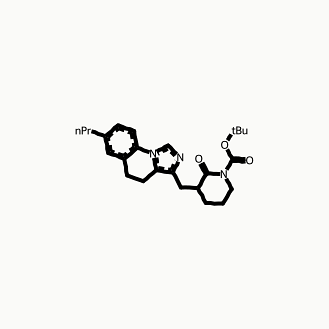 CCCc1ccc2c(c1)CCc1c(CC3CCCN(C(=O)OC(C)(C)C)C3=O)ncn1-2